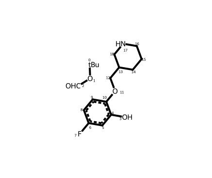 CC(C)(C)OC=O.Oc1cc(F)ccc1OCC1CCCNC1